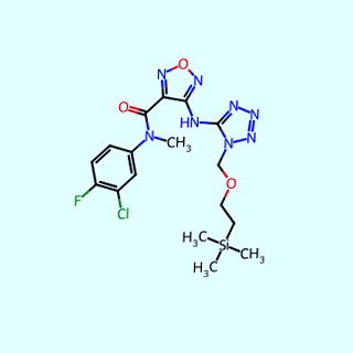 CN(C(=O)c1nonc1Nc1nnnn1COCC[Si](C)(C)C)c1ccc(F)c(Cl)c1